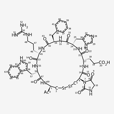 CC(=O)[C@@H]1CSSC[C@H](N2C(=O)CNC2=O)C(=O)N[C@@H](CCC(=O)O)C(=O)N[C@@H](Cc2cnc[nH]2)C(=O)N[C@H](Cc2ccccc2)C(=O)N[C@@H](CCCNC(=N)N)C(=O)N[C@@H](Cc2c[nH]c3ccccc23)C(=O)N1